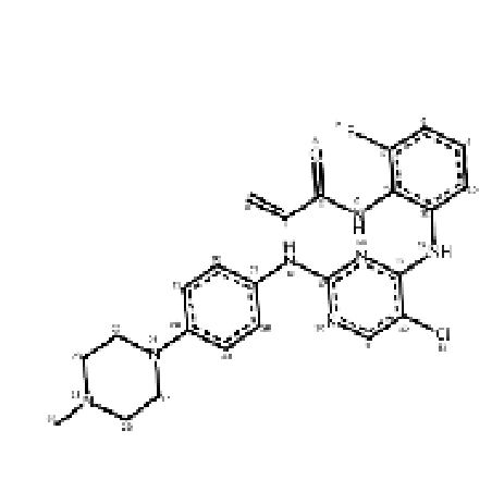 C=CC(=O)Nc1c(F)cccc1Nc1nc(Nc2ccc(N3CCN(C)CC3)cc2)ncc1Cl